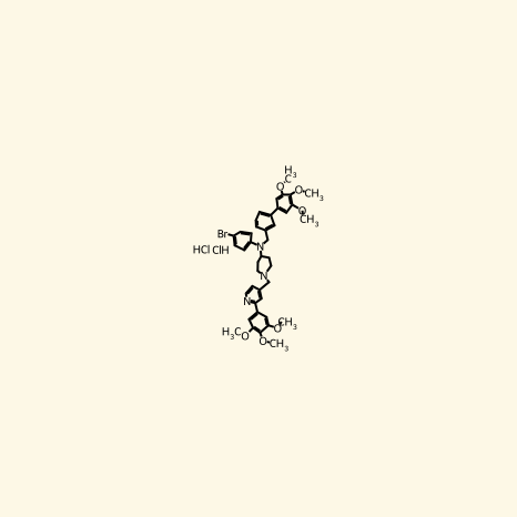 COc1cc(-c2cccc(CN(c3ccc(Br)cc3)C3CCN(Cc4ccnc(-c5cc(OC)c(OC)c(OC)c5)c4)CC3)c2)cc(OC)c1OC.Cl.Cl